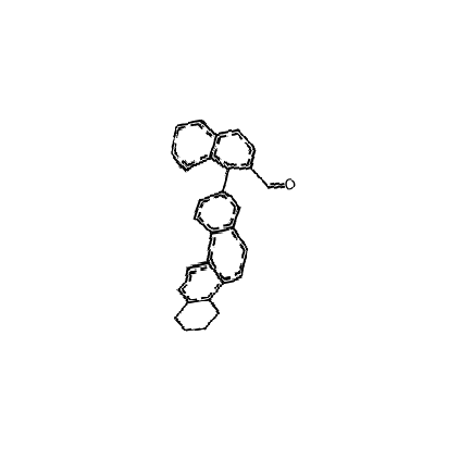 O=Cc1ccc2ccccc2c1-c1ccc2c(ccc3c4c(ccc32)CCCC4)c1